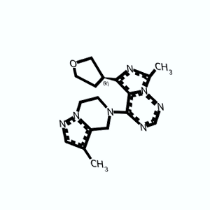 Cc1cnn2c1CN(c1ncnn3c(C)nc([C@H]4CCOC4)c13)CC2